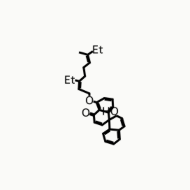 CCC(C)=CCCC(=CCOc1cccc2c1C(=O)C=CC21c2ccccc2C=CC1O)CC